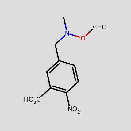 CN(Cc1ccc([N+](=O)[O-])c(C(=O)O)c1)OC=O